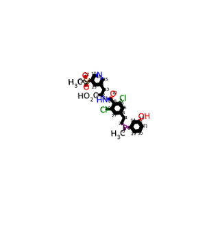 CP(CCc1cc(Cl)c(C(=O)NC(Cc2cncc(S(C)(=O)=O)c2)C(=O)O)c(Cl)c1)c1cccc(O)c1